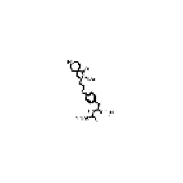 CCCCCC(=O)NC(Cc1ccc(OCCCCC2(C(=O)OC(C)(C)C)CCNCC2)cc1)C(=O)O